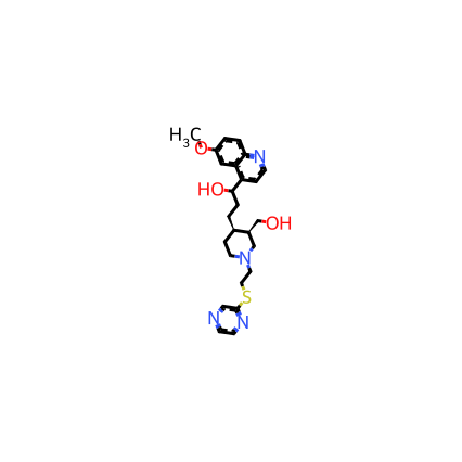 COc1ccc2nccc(C(O)CC[C@@H]3CCN(CCSc4cnccn4)C[C@@H]3CO)c2c1